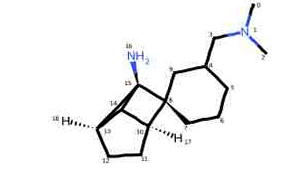 CN(C)CC1CCC[C@@]2(C1)[C@H]1CC[C@@H]3C1[C@]32N